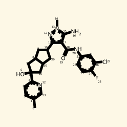 Cc1ccc(C2(O)CC3CC(c4nn(C)c(N)c4C(=O)Nc4ccc(F)c(Cl)c4)CC3C2)nc1